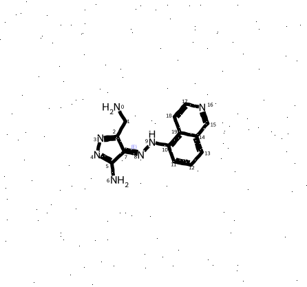 NCC1=NN=C(N)/C1=N/Nc1cccc2cnccc12